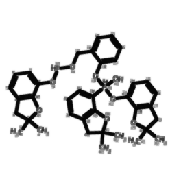 CC1(C)Cc2cccc(OPOCc3ccccc3O[PH](O)(Oc3cccc4c3OC(C)(C)C4)c3cccc4c3OC(C)(C)C4)c2O1